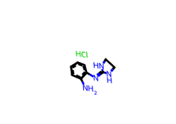 Cl.Nc1ccccc1N=C1NCCN1